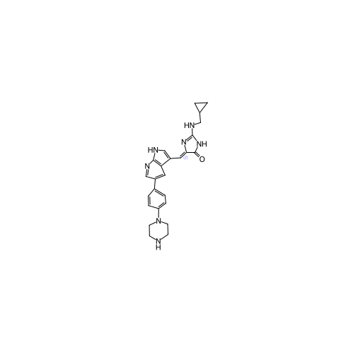 O=C1NC(NCC2CC2)=N/C1=C\c1c[nH]c2ncc(-c3ccc(N4CCNCC4)cc3)cc12